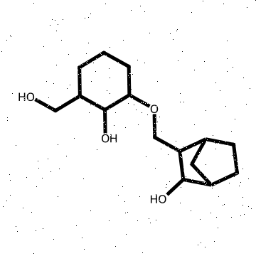 OCC1CCCC(OCC2C3CCC(C3)C2O)C1O